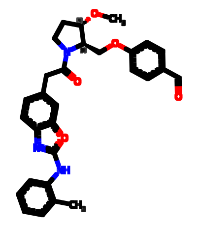 CO[C@H]1CCN(C(=O)Cc2ccc3nc(Nc4ccccc4C)oc3c2)[C@@H]1COc1ccc(C=O)cc1